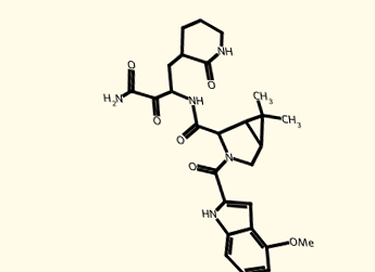 COc1cccc2[nH]c(C(=O)N3CC4C(C3C(=O)NC(CC3CCCNC3=O)C(=O)C(N)=O)C4(C)C)cc12